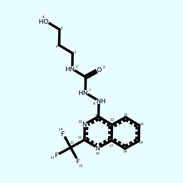 O=C(NCCCO)NNc1nc(C(F)(F)F)nc2ccccc12